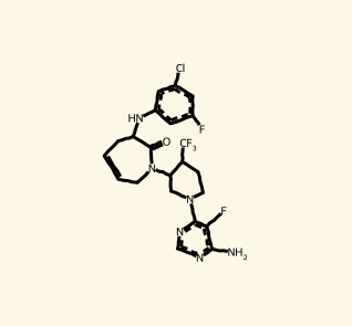 Nc1ncnc(N2CCC(C(F)(F)F)C(N3CC=CCC(Nc4cc(F)cc(Cl)c4)C3=O)C2)c1F